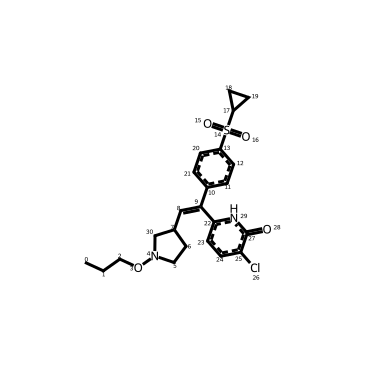 CCCON1CCC(/C=C(/c2ccc(S(=O)(=O)C3CC3)cc2)c2ccc(Cl)c(=O)[nH]2)C1